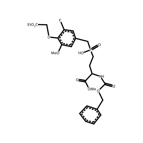 CCOC(=O)COc1c(F)cc(CP(=O)(O)CCC(NC(=O)OCc2ccccc2)C(=O)OC)cc1OC